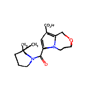 CC1(C)CCCN1C(=O)c1cc(C(=O)O)c2n1CCOC2